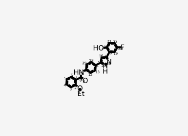 CCOc1ccccc1C(=O)Nc1ccc(-c2cc(-c3cc(F)ccc3O)n[nH]2)cc1